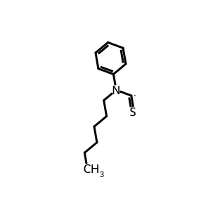 CCCCCCN([C]=S)c1ccccc1